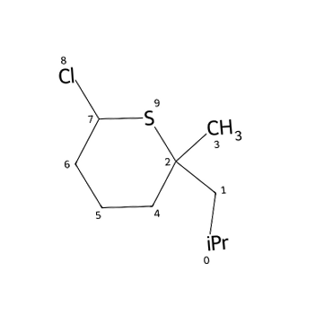 CC(C)CC1(C)CCCC(Cl)S1